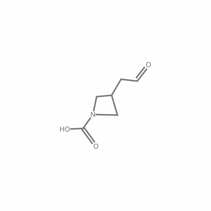 O=CCC1CN(C(=O)O)C1